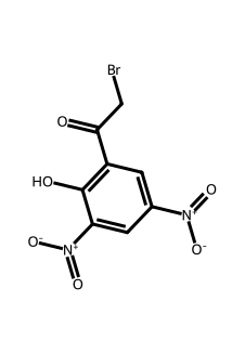 O=C(CBr)c1cc([N+](=O)[O-])cc([N+](=O)[O-])c1O